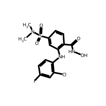 CN(C)S(=O)(=O)c1ccc(C(=O)NO)c(Nc2ccc(I)cc2Cl)c1